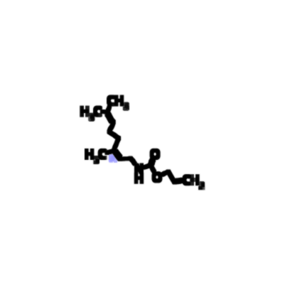 C=CCOC(=O)NC/C=C(/C)CCC=C(C)C